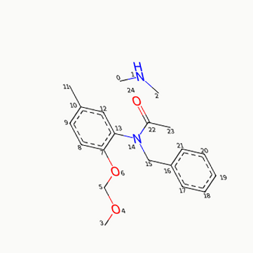 CNC.COCOc1ccc(C)cc1N(Cc1ccccc1)C(C)=O